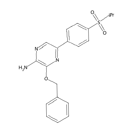 CC(C)S(=O)(=O)c1ccc(-c2cnc(N)c(OCc3ccccc3)n2)cc1